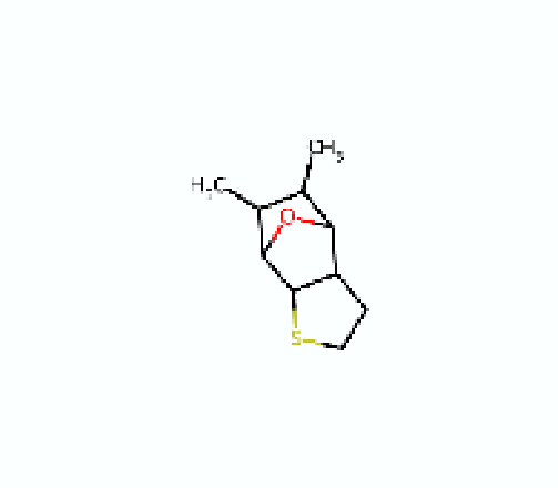 CC1C(C)C2OC1C1CCSC12